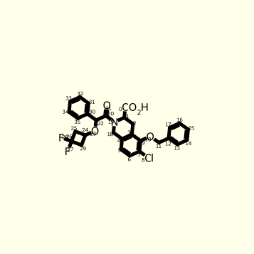 O=C(O)C1Cc2c(ccc(Cl)c2OCc2ccccc2)CN1C(=O)C(OC1CC(F)(F)C1)c1ccccc1